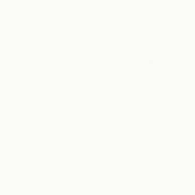 c1ccc2cc(-c3c4ccccc4c(-c4ccc5c(c4)c4ccccc4c4cc6sc7ccccc7c6cc54)c4ccccc34)ccc2c1